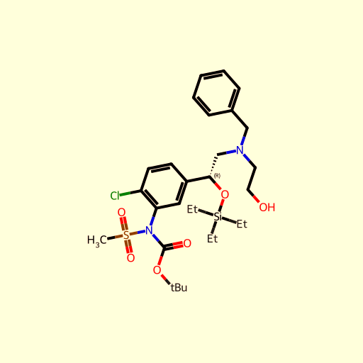 CC[Si](CC)(CC)O[C@@H](CN(CCO)Cc1ccccc1)c1ccc(Cl)c(N(C(=O)OC(C)(C)C)S(C)(=O)=O)c1